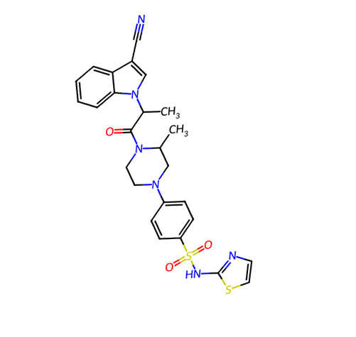 CC1CN(c2ccc(S(=O)(=O)Nc3nccs3)cc2)CCN1C(=O)C(C)n1cc(C#N)c2ccccc21